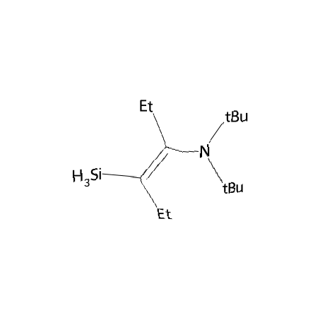 CCC([SiH3])=C(CC)N(C(C)(C)C)C(C)(C)C